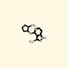 Cc1n[nH]c2ccnc(OC3CCCC3C)c12